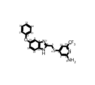 Nc1cc(SCc2nc3cc(Oc4ccccc4)ccc3[nH]2)cc(C(F)(F)F)n1